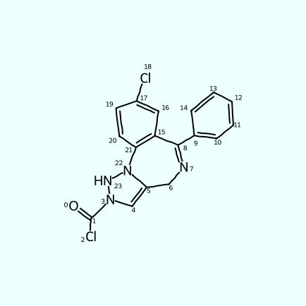 O=C(Cl)N1C=C2CN=C(c3ccccc3)c3cc(Cl)ccc3N2N1